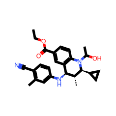 CCOC(=O)c1ccc2c(c1)[C@H](Nc1ccc(C#N)c(C)c1)[C@@H](C)[C@H](C1CC1)N2C(C)O